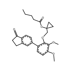 CCCCC(=O)OC1(COc2c(-c3ccc4c(c3)CCC4=O)ccc(OC)c2OC)CC1